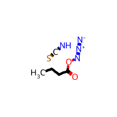 CCCC(=O)ON=[N+]=[N-].N=C=S